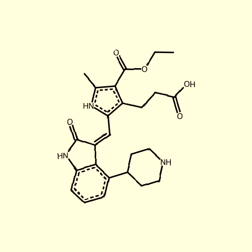 CCOC(=O)c1c(C)[nH]c(/C=C2\C(=O)Nc3cccc(C4CCNCC4)c32)c1CCC(=O)O